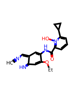 C#[N+]/C=C1/C=C(NC(=O)c2cccc(C3CC3)[n+]2O)C(OCC)=CC1=N